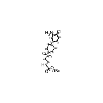 CC(C)(C)OC(=O)NCCS(=O)(=O)N1CCN(c2ccc(Cl)c(N)c2)CC1